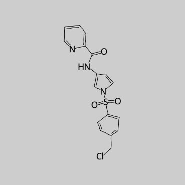 O=C(Nc1ccn(S(=O)(=O)c2ccc(CCl)cc2)c1)c1ccccn1